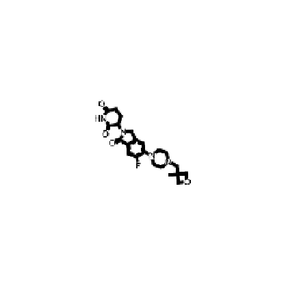 CC1(CN2CCN(c3cc4c(cc3F)C(=O)N(C3CCC(=O)NC3=O)C4)CC2)COC1